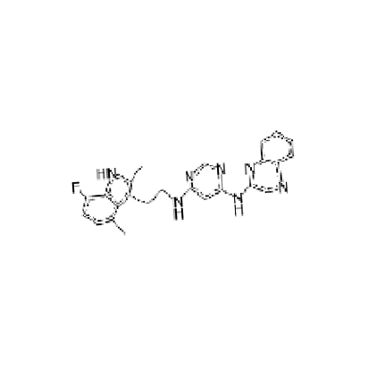 Cc1[nH]c2c(F)ccc(C)c2c1CCNc1cc(Nc2cnc3ccccc3n2)ncn1